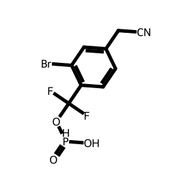 N#CCc1ccc(C(F)(F)O[PH](=O)O)c(Br)c1